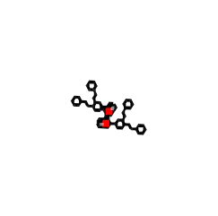 C(=Cc1ccc(C23CC4CC(C2)CC(C25CC6CC(CC(c7ccc(C=Cc8ccccc8)c(C=Cc8ccccc8)c7)(C6)C2)C5)(C4)C3)cc1C=Cc1ccccc1)c1ccccc1